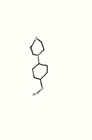 CC(C)OC1CCC(N2CCOCC2)CC1